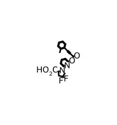 Cc1ccccc1C#CC(=O)Oc1cccc(N2CC(F)(F)CC2C(=O)O)n1